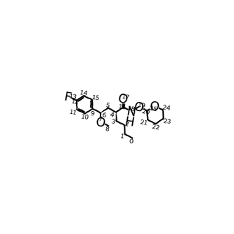 CCCC[C@@H](C[C@@H](OC)c1ccc(F)cc1)C(=O)NOC1CCCCO1